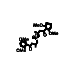 COc1cccc(OC)c1C(=O)CC(C)C[PH](=O)CC(C)CC(=O)c1c(OC)cccc1OC